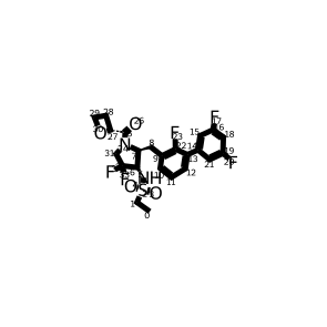 CCS(=O)(=O)N[C@@H]1[C@H](Cc2cccc(-c3cc(F)cc(F)c3)c2F)N(C(=O)[C@H]2CCO2)CC1(F)F